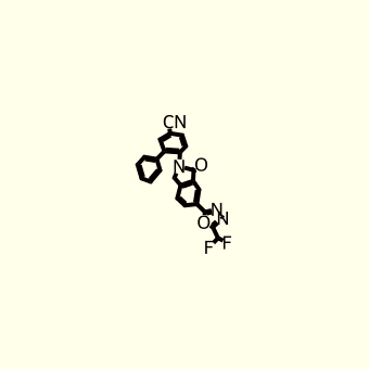 N#Cc1ccc(N2Cc3ccc(-c4nnc(C(F)F)o4)cc3C2=O)c(-c2ccccc2)c1